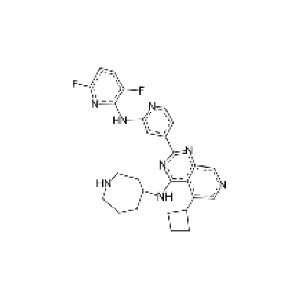 Fc1ccc(F)c(Nc2cc(-c3nc(NC4CCCNCC4)c4c(C5CCC5)cncc4n3)ccn2)n1